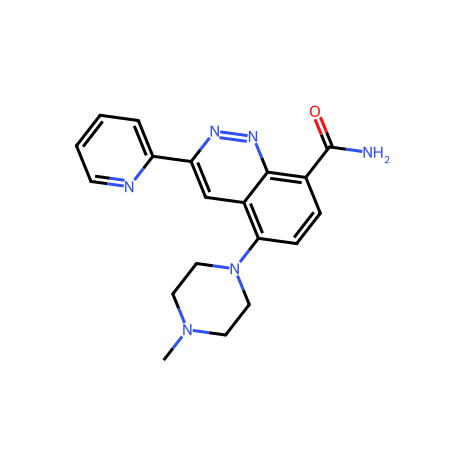 CN1CCN(c2ccc(C(N)=O)c3nnc(-c4ccccn4)cc23)CC1